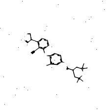 CC1(C)CC(C(=O)Nc2ccc(Oc3cccc(C4C=NNC4)c3C#N)c(Cl)c2)CC(C)(C)N1